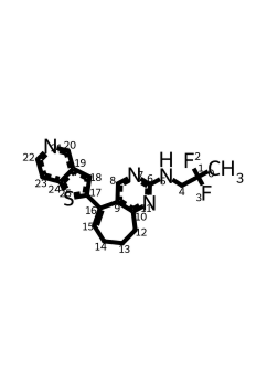 CC(F)(F)CNc1ncc2c(n1)CCCC=C2c1cc2cnccc2s1